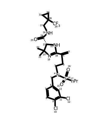 C=C(CCN(Cc1ccc(Cl)c(Cl)c1)S(=O)(=O)CCC)C1=NC(C)(C)[C@H](C(=O)NCC2(C(F)(F)F)CC2)N1